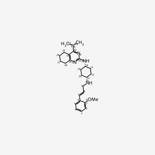 COc1ccccc1C=CCN[C@H]1CC[C@@H](Nc2nc3c(c(N(C)C)n2)CCCC3)CC1